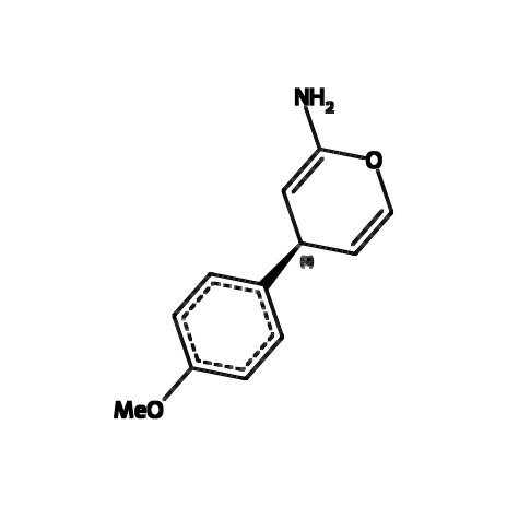 COc1ccc([C@@H]2C=COC(N)=C2)cc1